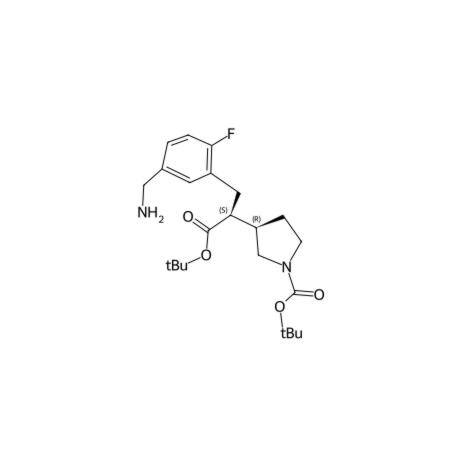 CC(C)(C)OC(=O)[C@@H](Cc1cc(CN)ccc1F)[C@H]1CCN(C(=O)OC(C)(C)C)C1